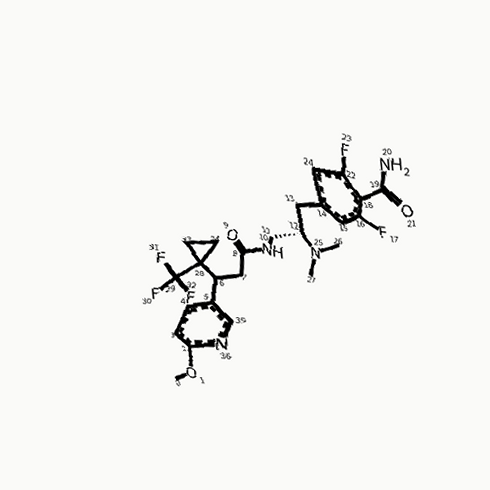 COc1ccc(C(CC(=O)NC[C@H](Cc2cc(F)c(C(N)=O)c(F)c2)N(C)C)C2(C(F)(F)F)CC2)cn1